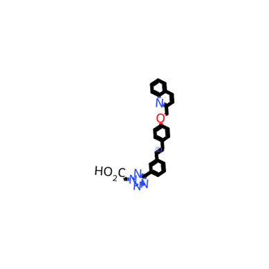 O=C(O)Cn1nnc(-c2cccc(/C=C/c3ccc(OCc4ccc5ccccc5n4)cc3)c2)n1